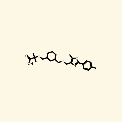 Cc1ccc(-c2nc(COCC3CCCC(COC(C)(C)C(=O)O)C3)c(C)o2)cc1